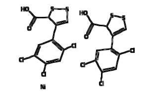 O=C(O)C1SSC=C1c1cc(Cl)c(Cl)cc1Cl.O=C(O)C1SSC=C1c1cc(Cl)c(Cl)cc1Cl.[Ni]